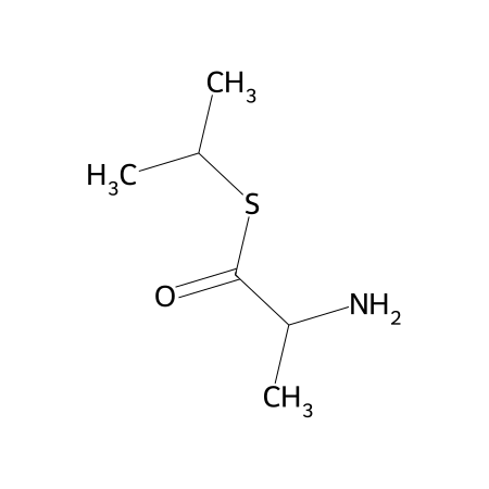 CC(C)SC(=O)C(C)N